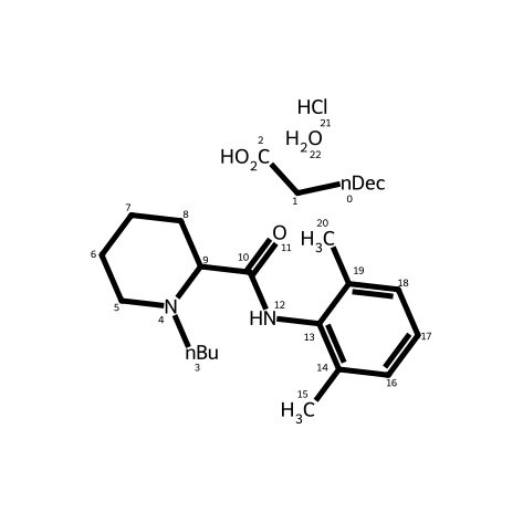 CCCCCCCCCCCC(=O)O.CCCCN1CCCCC1C(=O)Nc1c(C)cccc1C.Cl.O